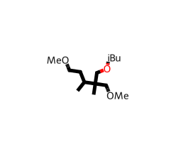 CCC(C)OCC(C)(COC)C(C)CCOC